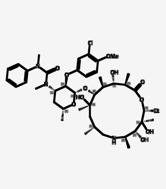 CC[C@H]1OC(=O)[C@H](C)[C@@H](O)[C@H](C)[C@@H](O[C@@H]2O[C@H](C)C[C@H](N(C)C(=O)N(C)c3ccccc3)[C@H]2Oc2ccc(OC)c(Cl)c2)[C@](C)(O)C[C@@H](C)CN[C@H](C)[C@@H](O)[C@]1(C)O